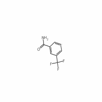 NC(=O)c1c[c]cc(C(F)(F)F)c1